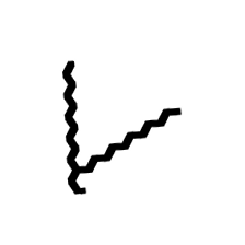 [CH2]CC(CCCCCCCCCC)CCCCCCCCCCC